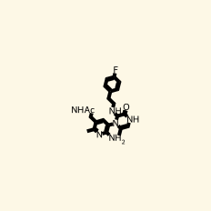 CC(=O)NCc1cc(N2C(C)=CNC(=O)C2NCCc2ccc(F)cc2)c(N)nc1C